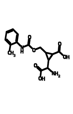 Cc1ccccc1NC(=O)OCC1C(C(=O)O)C1C(N)C(=O)O